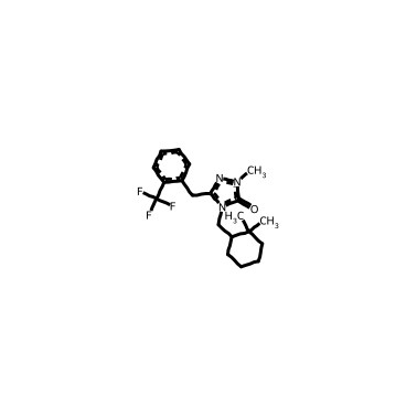 Cn1nc(Cc2ccccc2C(F)(F)F)n(CC2CCCCC2(C)C)c1=O